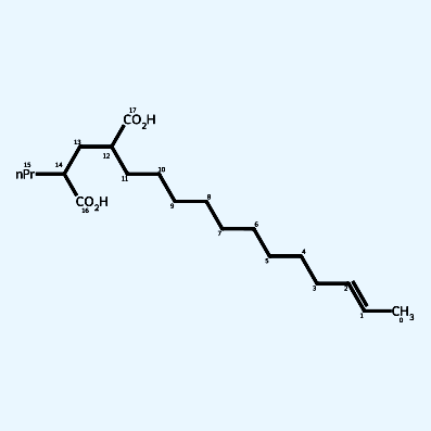 CC=CCCCCCCCCCC(CC(CCC)C(=O)O)C(=O)O